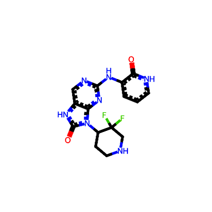 O=c1[nH]cccc1Nc1ncc2[nH]c(=O)n(C3CCNCC3(F)F)c2n1